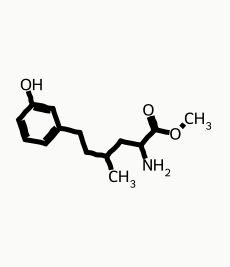 COC(=O)C(N)CC(C)CCc1cccc(O)c1